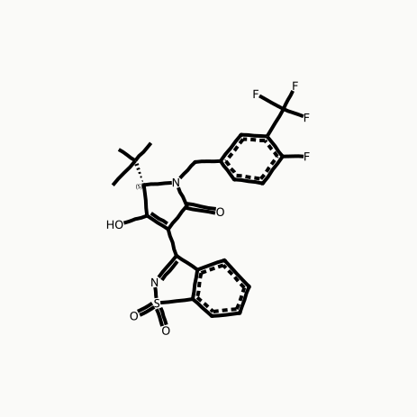 CC(C)(C)[C@H]1C(O)=C(C2=NS(=O)(=O)c3ccccc32)C(=O)N1Cc1ccc(F)c(C(F)(F)F)c1